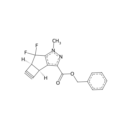 Cn1nc(C(=O)OCc2ccccc2)c2c1C(F)(F)[C@@H]1C#C[C@H]21